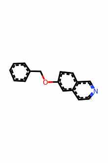 [c]1cc2cc(OCc3ccccc3)ccc2cn1